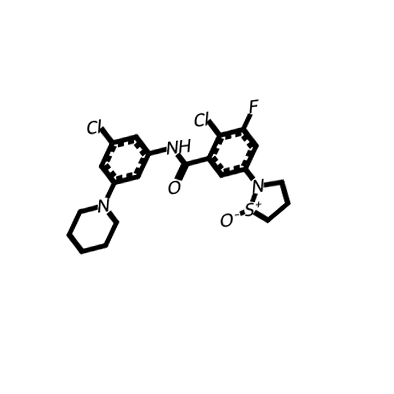 O=C(Nc1cc(Cl)cc(N2CCCCC2)c1)c1cc(N2CCC[S+]2[O-])cc(F)c1Cl